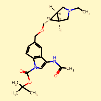 CCN1C[C@@H]2[C@@H](COCc3ccc4c(c3)c(NC(C)=O)cn4C(=O)OC(C)(C)C)[C@@H]2C1